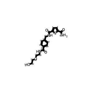 NC(=O)c1ccc(C(=O)NCc2ccc(C(=O)NCCOCCO)cc2)s1